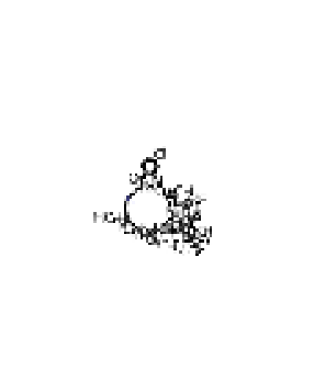 C#C[C@H]1CC[C@H]2OC(=O)N[C@@H](C(C)(C)C)C(=O)N3C[C@H](Oc4nc5cc(Cl)ccc5c(=O)n4C/C=C/CC[C@H]12)[C@@H](C)[C@H]3C(=O)N[C@]1(C(=O)NS(=O)(=O)C2(C)CC2)C[C@H]1C(F)F